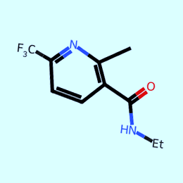 CCNC(=O)c1ccc(C(F)(F)F)nc1C